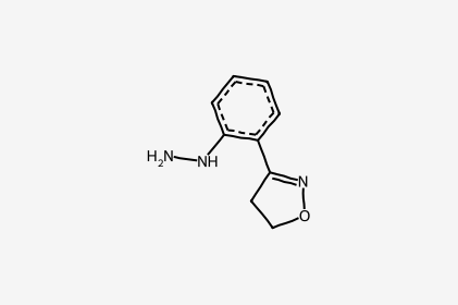 NNc1ccccc1C1=NOCC1